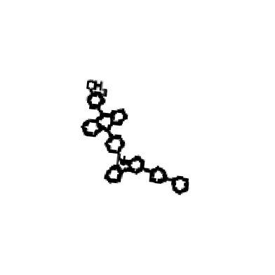 Cc1ccc(-c2c3ccccc3c(-c3ccc(-n4c5ccccc5c5cc(-c6ccc(-c7ccccc7)cc6)ccc54)cc3)c3ccccc23)cc1